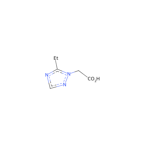 CCc1ncnn1CC(=O)O